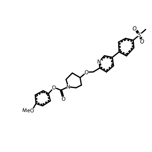 COc1ccc(OC(=O)N2CCC(OCc3ccc(-c4ccc(S(C)(=O)=O)cc4)cn3)CC2)cc1